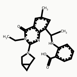 CCn1c(N2CC3CC3C2)nc2c(C(C)Nc3ccccc3C(=O)O)cc(C)cc2c1=O